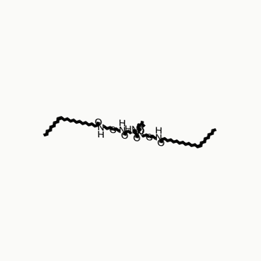 CCCCCCCC/C=C\CCCCCCCCCCCC(=O)NCCCOCCNC(=O)CC[C@H](NC(=O)CC(C)C)C(=O)NCCOCCNC(=O)CCCCCCCCCCC/C=C\CCCCCCCC